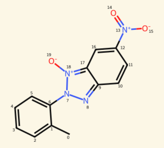 Cc1ccccc1-n1nc2ccc([N+](=O)[O-])cc2[n+]1[O-]